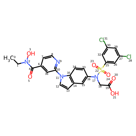 CCN(O)C(=O)c1ccnc(-n2ccc3cc(N(CC(=O)O)S(=O)(=O)c4cc(Cl)cc(Cl)c4)ccc32)c1